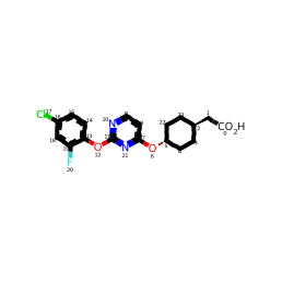 O=C(O)C[C@H]1CC[C@H](Oc2ccnc(Oc3ccc(Cl)cc3F)n2)CC1